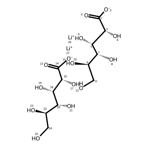 O=C([O-])[C@H](O)[C@@H](O)[C@H](O)[C@H](O)CO.O=C([O-])[C@H](O)[C@@H](O)[C@H](O)[C@H](O)CO.[Li+].[Li+]